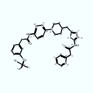 O=C(Cc1cccc(OC(F)(F)F)c1)Nc1ccc(N2CCC(Cc3nnc(NC(=O)Cc4ccccn4)s3)CC2)nn1